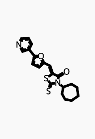 O=C1/C(=C/c2ccc(-c3cccnc3)o2)SC(=S)N1C1CCCCCC1